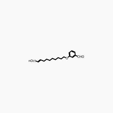 CCCCCCCCC=CCCCCCCCCOc1cccc(C=O)c1